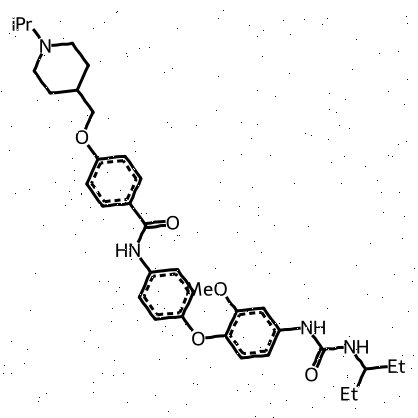 CCC(CC)NC(=O)Nc1ccc(Oc2ccc(NC(=O)c3ccc(OCC4CCN(C(C)C)CC4)cc3)cc2)c(OC)c1